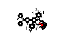 [2H]c1c([2H])c([2H])c2c(c1[2H])c1cc(-c3ccc(N4c5ccccc5Sc5ccccc54)cc3)c3c4c([2H])c([2H])c([2H])c([2H])c4n(-c4cc5ccccc5o4)c3c1n2-c1cc2ccccc2o1